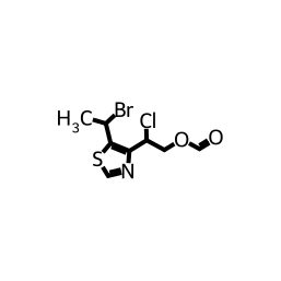 CC(Br)c1scnc1C(Cl)COC=O